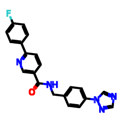 O=C(NCc1ccc(-n2cncn2)cc1)c1ccc(-c2ccc(F)cc2)nc1